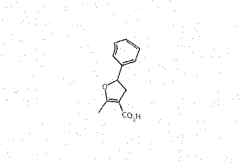 CC1=C(C(=O)O)CC(c2ccccc2)O1